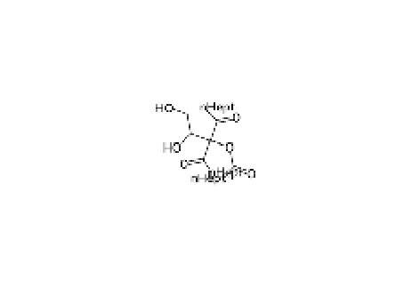 CCCCCCCC(=O)OC(C(=O)CCCCCCC)(C(=O)CCCCCCC)C(O)CO